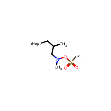 CCCCCCCCC(C)CN(C)OS(=O)(=O)CCC